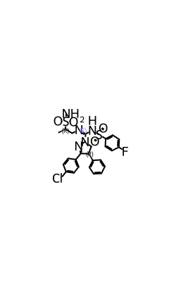 C[C@H](C/N=C(/NS(=O)(=O)c1ccc(F)cc1)N1C[C@@H](c2ccccc2)C(c2ccc(Cl)cc2)=N1)S(N)(=O)=O